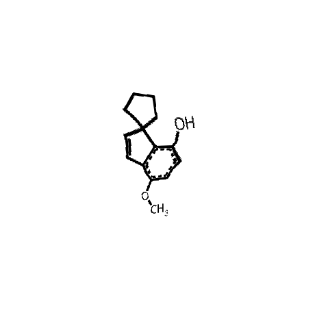 COc1ccc(O)c2c1C=CC21CCCC1